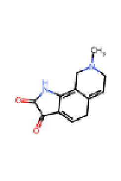 CN1CC=C2CC=C3C(=O)C(=O)NC3=C2C1